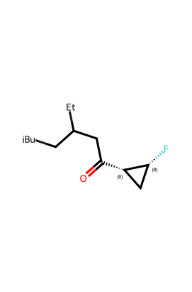 CCC(C)CC(CC)CC(=O)[C@H]1C[C@H]1F